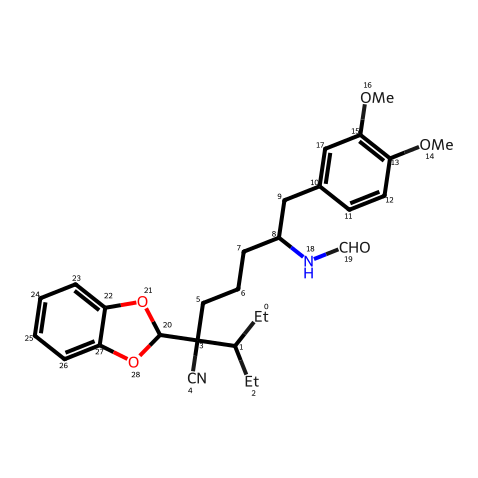 CCC(CC)C(C#N)(CCCC(Cc1ccc(OC)c(OC)c1)NC=O)C1Oc2ccccc2O1